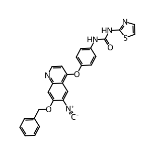 [C-]#[N+]c1cc2c(Oc3ccc(NC(=O)Nc4nccs4)cc3)ccnc2cc1OCc1ccccc1